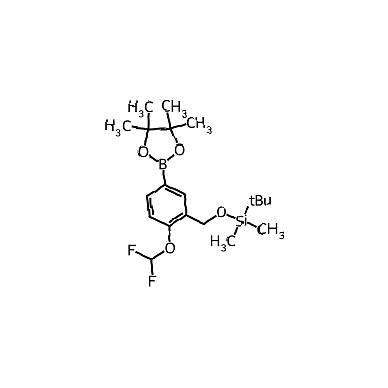 CC1(C)OB(c2ccc(OC(F)F)c(CO[Si](C)(C)C(C)(C)C)c2)OC1(C)C